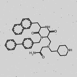 NC(=O)CN(CC1CCNCC1)CC1C(=O)NC(Cc2ccc3ccccc3c2)C(=O)N1Cc1ccc(-c2ccccc2)cc1